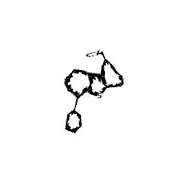 Clc1cccc2sc3c(-c4ccccc4)cccc3c12